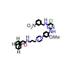 COc1cc(N2CCN(CCCNC(=O)CC3[C@H]4C[C@H]5C[C@H](C4)C[C@H]3C5)CC2)ccc1Nc1ncc(Cl)c(NCc2cccc([N+](=O)[O-])c2)n1